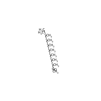 C/C=C(\C)CC/C(C)=C/CC/C(C)=C/CC/C(C)=C/CC/C(C)=C/CC/C(C)=C/CC/C(C)=C/CC/C(C)=C/COC(C)=O